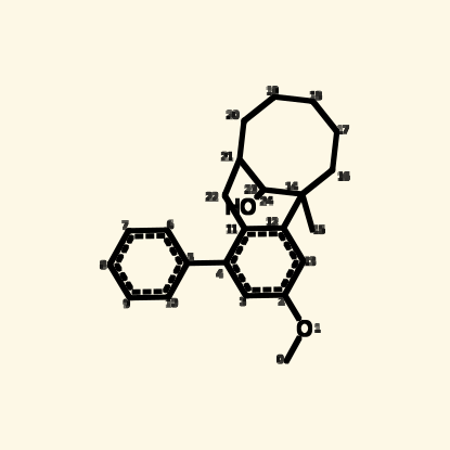 COc1cc(-c2ccccc2)c2c(c1)C1(C)CCCCCC(C2)C1O